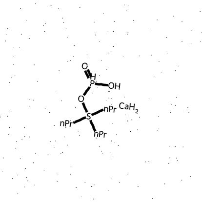 CCCS(CCC)(CCC)O[PH](=O)O.[CaH2]